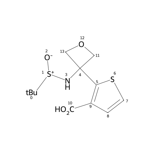 CC(C)(C)[S+]([O-])NC1(c2sccc2C(=O)O)COC1